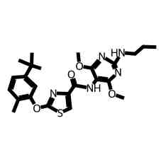 CCCNc1nc(OC)c(NC(=O)c2csc(Oc3cc(C(C)(C)C)ccc3C)n2)c(OC)n1